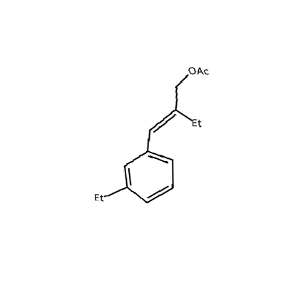 CC/C(=C\c1cccc(CC)c1)COC(C)=O